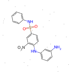 Nc1cccc(Nc2ccc(S(=O)(=O)Nc3ccccc3)cc2[N+](=O)[O-])c1